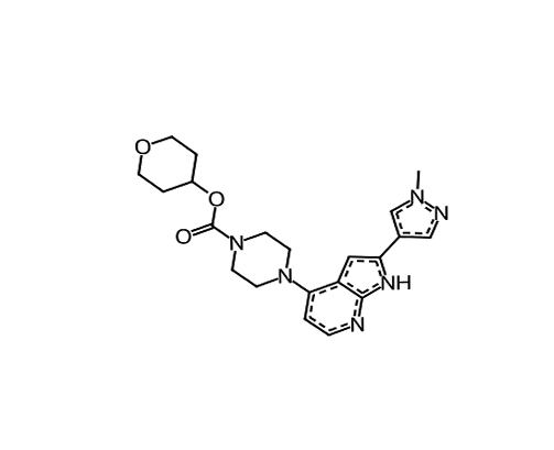 Cn1cc(-c2cc3c(N4CCN(C(=O)OC5CCOCC5)CC4)ccnc3[nH]2)cn1